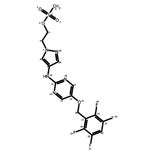 CS(=O)(=O)OCCn1cc(Nc2ncc(OCc3c(F)c(F)cc(F)c3F)cn2)cn1